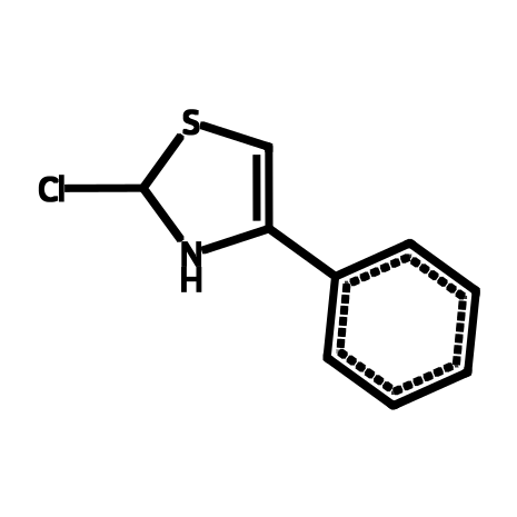 ClC1NC(c2ccccc2)=CS1